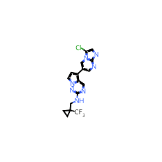 FC(F)(F)C1(CNc2ncc3c(-c4cnc5ncc(Cl)n5c4)ccn3n2)CC1